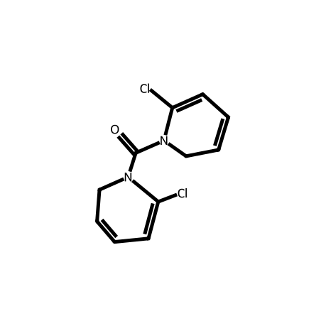 O=C(N1CC=CC=C1Cl)N1CC=CC=C1Cl